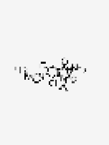 Nn1c(=O)c2cc(F)c(N3CC/C(=N/O)C3)c(Cl)c2n(C2CC2)c1=O